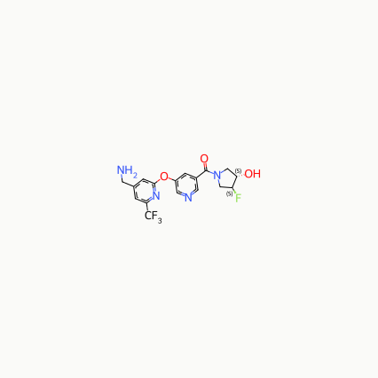 NCc1cc(Oc2cncc(C(=O)N3C[C@H](O)[C@@H](F)C3)c2)nc(C(F)(F)F)c1